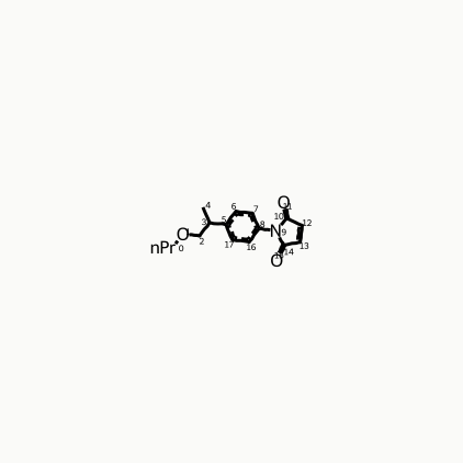 CCCOCC(C)c1ccc(N2C(=O)C=CC2=O)cc1